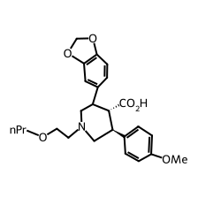 CCCOCCN1CC(c2ccc3c(c2)OCO3)[C@H](C(=O)O)[C@@H](c2ccc(OC)cc2)C1